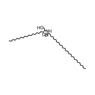 CCCCCCCCCCCCCCCCCCCCCCCCCC(=O)NC(CO)C(O)CCCCCCCCCCCCCCCCC